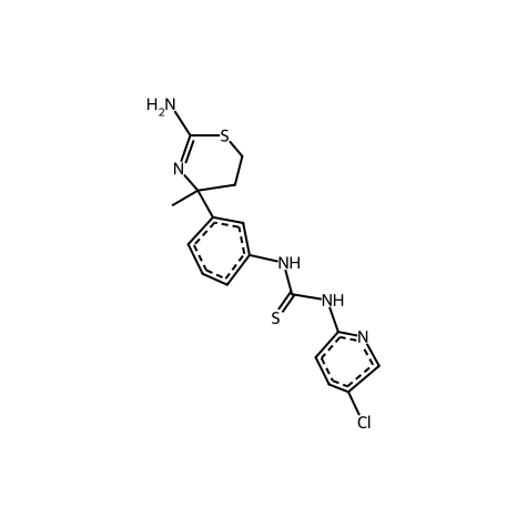 CC1(c2cccc(NC(=S)Nc3ccc(Cl)cn3)c2)CCSC(N)=N1